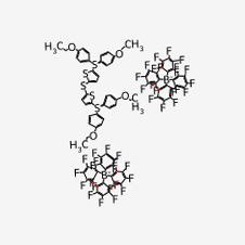 CCOc1ccc([S+](c2ccc(OCC)cc2)c2ccc(Sc3ccc([S+](c4ccc(OCC)cc4)c4ccc(OCC)cc4)s3)s2)cc1.Fc1c(F)c(F)c([B-](c2c(F)c(F)c(F)c(F)c2F)(c2c(F)c(F)c(F)c(F)c2F)c2c(F)c(F)c(F)c(F)c2F)c(F)c1F.Fc1c(F)c(F)c([B-](c2c(F)c(F)c(F)c(F)c2F)(c2c(F)c(F)c(F)c(F)c2F)c2c(F)c(F)c(F)c(F)c2F)c(F)c1F